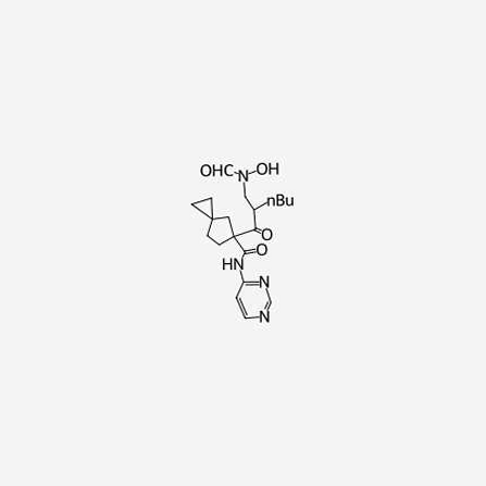 CCCCC(CN(O)C=O)C(=O)C1(C(=O)Nc2ccncn2)CCC2(CC2)C1